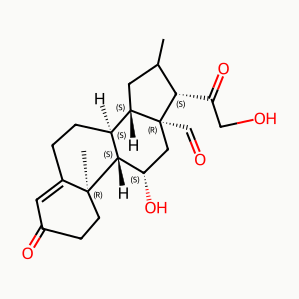 CC1C[C@H]2[C@@H]3CCC4=CC(=O)CC[C@]4(C)[C@H]3[C@@H](O)C[C@]2(C=O)[C@H]1C(=O)CO